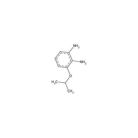 CC(C)Oc1cccc(N)c1N